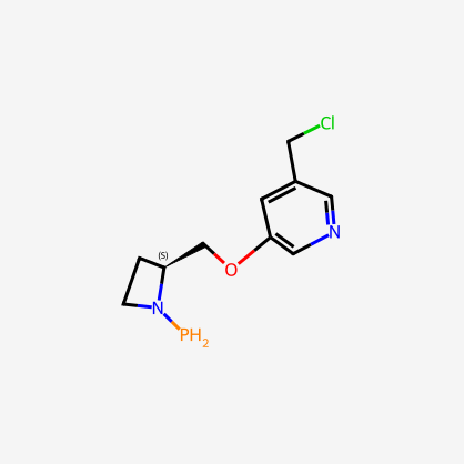 PN1CC[C@H]1COc1cncc(CCl)c1